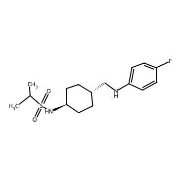 CC(C)S(=O)(=O)N[C@H]1CC[C@H](CNc2ccc(F)cc2)CC1